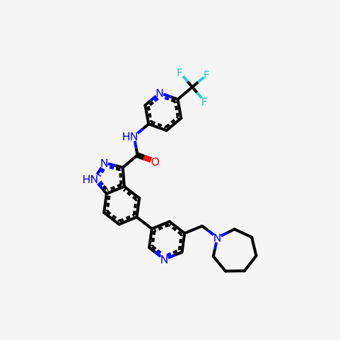 O=C(Nc1ccc(C(F)(F)F)nc1)c1n[nH]c2ccc(-c3cncc(CN4CCCCCC4)c3)cc12